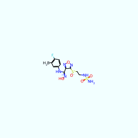 Bc1cc(N/C(=N\O)c2nonc2[S+]([O-])CCNS(N)(=O)=O)ccc1F